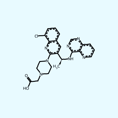 C[C@H](Nc1ncnc2cccnc12)c1cc2cccc(Cl)c2nc1N1CCN(CC(=O)O)CC1